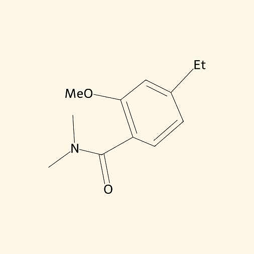 CCc1ccc(C(=O)N(C)C)c(OC)c1